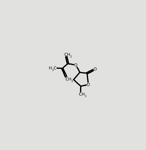 C=C(C)C(=C)OC1CC(C)OC1=O